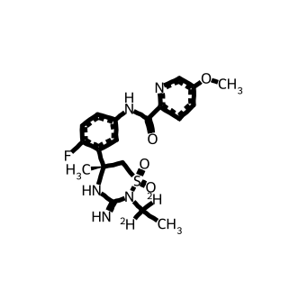 [2H]C([2H])(C)N1C(=N)N[C@](C)(c2cc(NC(=O)c3ccc(OC)cn3)ccc2F)CS1(=O)=O